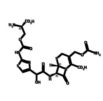 NC(=O)OCC1=C(C(=O)O)N2C(=O)[C@@H](NC(=O)C(O)c3csc(NC(=O)OC[C@@H](N)C(=O)O)n3)[C@@H]2SC1